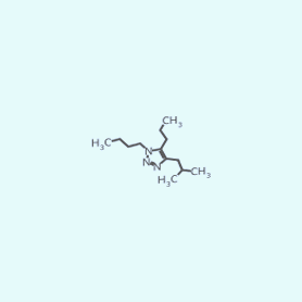 CCCCn1nnc(CC(C)C)c1CCC